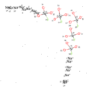 [Na+].[Na+].[Na+].[Na+].[Na+].[Na+].[Na+].[Na+].[Na+].[Na+].[Na+].[Na+].[Na+].[Na+].[Na+].[O-][Si]([O-])([O-])F.[O-][Si]([O-])([O-])F.[O-][Si]([O-])([O-])F.[O-][Si]([O-])([O-])F.[O-][Si]([O-])([O-])F